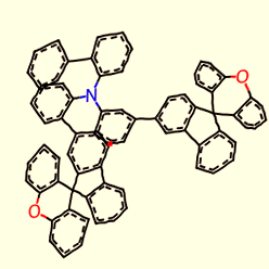 c1ccc(-c2ccccc2N(c2cccc(-c3ccc4c(c3)-c3ccccc3C43c4ccccc4Oc4ccccc43)c2)c2ccccc2-c2ccc3c(c2)C2(c4ccccc4Oc4ccccc42)c2ccccc2-3)cc1